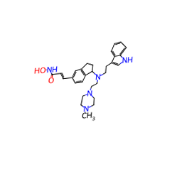 CN1CCN(CCN(CCc2c[nH]c3ccccc23)C2CCc3cc(C=CC(=O)NO)ccc32)CC1